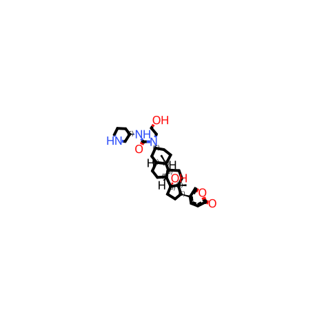 C[C@]12CC[C@H](N(CCO)C(=O)N[C@H]3CCCNC3)C[C@H]1CC[C@@H]1[C@@H]2CC[C@]2(C)[C@@H](c3ccc(=O)oc3)CC[C@]12O